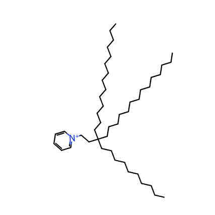 CCCCCCCCCCCCCCC(CCCCCCCCCC)(CCCCCCCCCCCCCC)CC[n+]1ccccc1